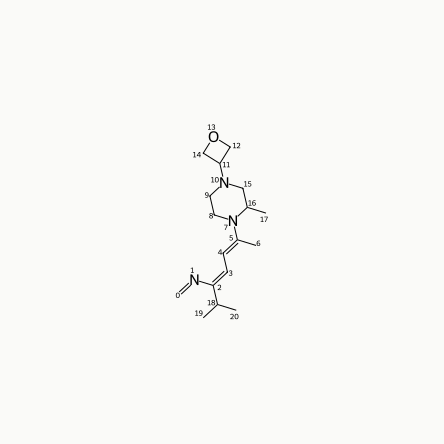 C=N/C(=C\C=C(/C)N1CCN(C2COC2)CC1C)C(C)C